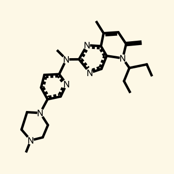 C=C1C=C(C)c2nc(N(C)c3ccc(N4CCN(C)CC4)cn3)ncc2N1C(CC)CC